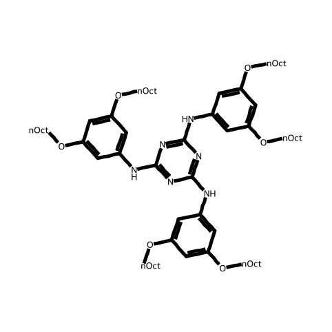 CCCCCCCCOc1cc(Nc2nc(Nc3cc(OCCCCCCCC)cc(OCCCCCCCC)c3)nc(Nc3cc(OCCCCCCCC)cc(OCCCCCCCC)c3)n2)cc(OCCCCCCCC)c1